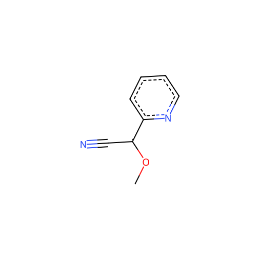 CO[C](C#N)c1ccccn1